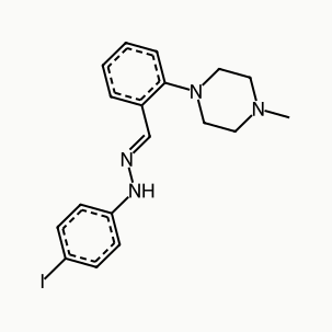 CN1CCN(c2ccccc2C=NNc2ccc(I)cc2)CC1